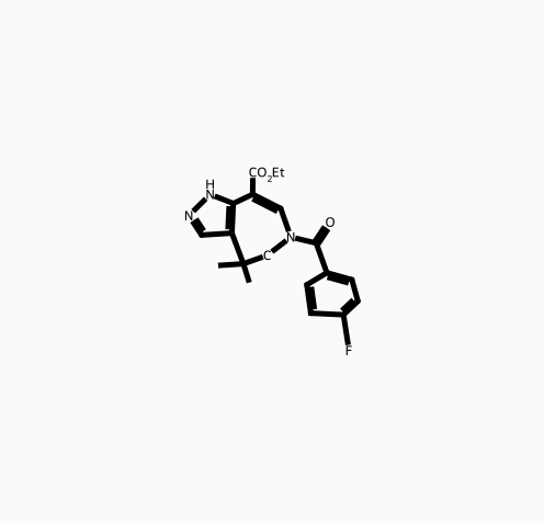 CCOC(=O)C1=CN(C(=O)c2ccc(F)cc2)CC(C)(C)c2cn[nH]c21